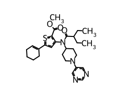 CCC(CC)C(=O)N(c1cc(C2=CCCCC2)sc1C(=O)OC)C1CCN(c2cncnc2)CC1